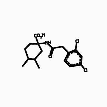 CC1CCC(NC(=O)Cc2ccc(Cl)cc2Cl)(C(=O)O)CC1C